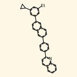 CCc1cc(-c2ccc3cc(-c4ccc(-c5ccc6ccccc6n5)cc4)ccc3c2)cc(C2CC2)c1